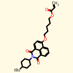 C=CC(=O)OCCCCCOc1ccc2c3c(cccc13)C(=O)N(C1CCC(C(C)(C)C)CC1)C2=O